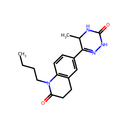 CCCCN1C(=O)CCc2cc(C3=NNC(=O)NC3C)ccc21